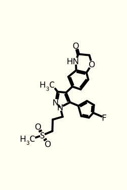 Cc1nn(CCCS(C)(=O)=O)c(-c2ccc(F)cc2)c1-c1ccc2c(c1)NC(=O)CO2